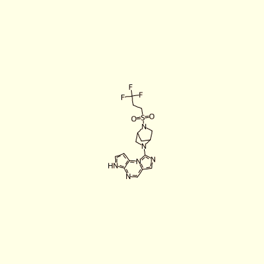 O=S(=O)(CCC(F)(F)F)N1CC2CC1CN2c1ncc2cnc3[nH]ccc3n12